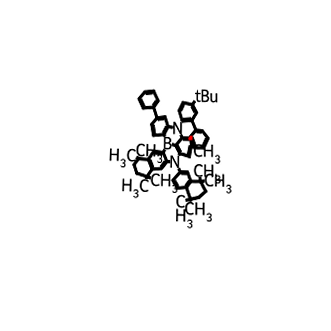 Cc1cc2c3c(c1)N(c1ccc(C(C)(C)C)cc1-c1ccccc1)c1cc(-c4ccccc4)ccc1B3c1cc3c(cc1N2c1ccc2c(c1)C(C)(C)CCC2(C)C)C(C)(C)CCC3(C)C